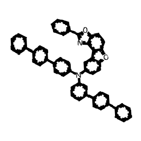 c1ccc(-c2ccc(-c3ccc(N(c4cccc(-c5ccc(-c6ccccc6)cc5)c4)c4ccc5oc6ccc7oc(-c8ccccc8)nc7c6c5c4)cc3)cc2)cc1